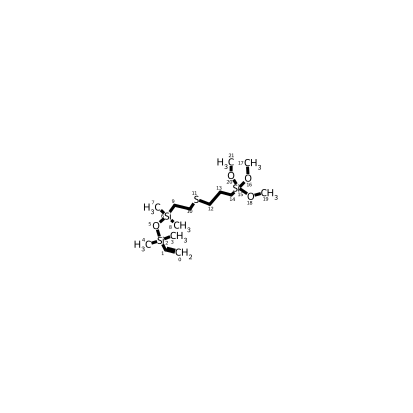 C=C[Si](C)(C)O[Si](C)(C)CCSCCC[Si](OC)(OC)OC